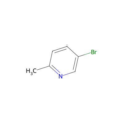 Cc1c[c]c(Br)cn1